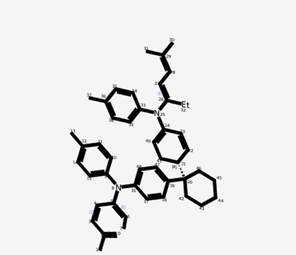 C=C(C)/C=C\C(=C/C)N(c1ccc(C)cc1)c1ccc(C2([C@H]3C=CC(N(/C(=C/C=C(C)C)CC)c4ccc(C)cc4)=CC3)CCCCC2)cc1